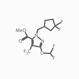 COC(=O)c1c(C(F)(F)F)c(OC(F)F)nn1CC1CCC(F)(F)C1